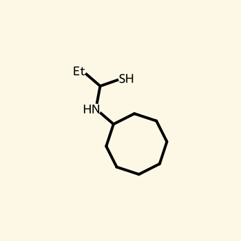 CCC(S)NC1CCCCCCC1